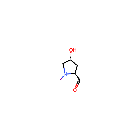 O=C[C@@H]1C[C@@H](O)CN1I